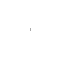 CC(=O)O[CH]c1ccccc1P(c1ccccc1C)c1ccccc1C